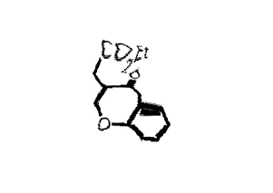 CCOC(=O)CC1COc2ccccc2C1=O